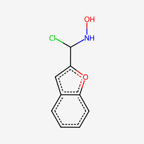 ONC(Cl)c1cc2ccccc2o1